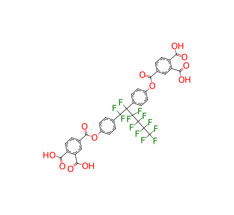 O=C(Oc1ccc(C(F)(F)C(F)(c2ccc(OC(=O)c3ccc(C(=O)O)c(C(=O)O)c3)cc2)C(F)(F)C(F)(F)C(F)(F)C(F)(F)F)cc1)c1ccc(C(=O)O)c(C(=O)O)c1